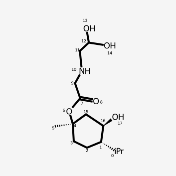 CC(C)[C@@H]1CC[C@@](C)(OC(=O)CNCC(O)O)C[C@H]1O